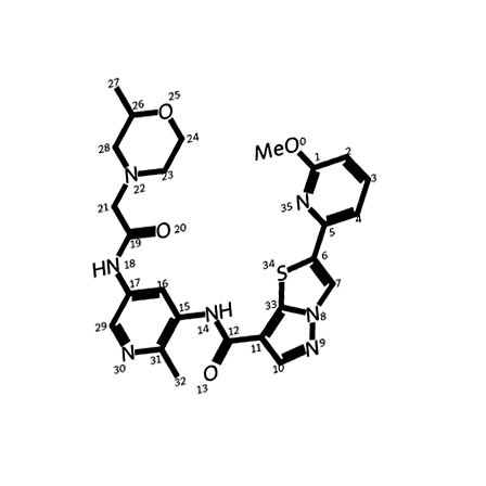 COc1cccc(-c2cn3ncc(C(=O)Nc4cc(NC(=O)CN5CCOC(C)C5)cnc4C)c3s2)n1